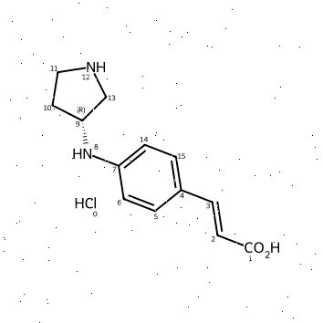 Cl.O=C(O)C=Cc1ccc(N[C@@H]2CCNC2)cc1